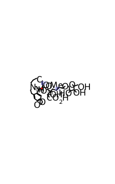 CO/C1=C/CCCCN2CCc3cc4c(cc3[C@@H](C2)[C@@H]1OC(=O)[C@@](O)(C/C=C/COC1OC(CO)C(O)C1O)CC(=O)O)OCO4